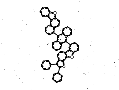 c1ccc(-c2sc3c(ccc4c3oc3cccc(-c5c6ccccc6c(-c6cccc7c6ccc6oc8ccccc8c67)c6ccccc56)c34)c2-c2ccccc2)cc1